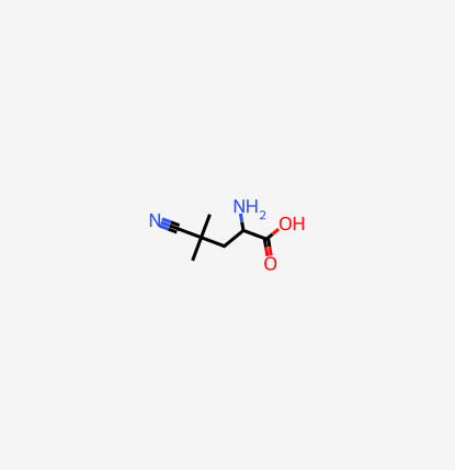 CC(C)(C#N)CC(N)C(=O)O